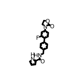 O=C(NCc1ccc(-c2ccc(N3CCOC3=O)cc2F)cc1)c1ccc[nH]1